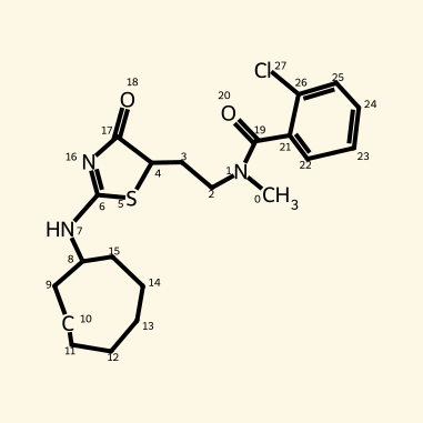 CN(CCC1SC(NC2CCCCCCC2)=NC1=O)C(=O)c1ccccc1Cl